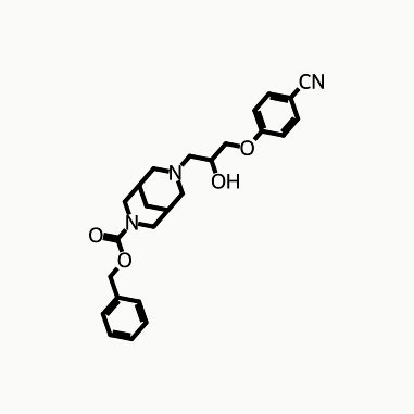 N#Cc1ccc(OCC(O)CN2CC3CC(C2)CN(C(=O)OCc2ccccc2)C3)cc1